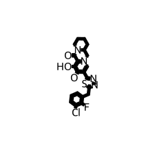 O=C1c2c(O)c(=O)c(-c3nnc(Cc4cccc(Cl)c4F)s3)cn2CC2CCCCN12